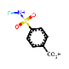 O=C(O)c1ccc(S(=O)(=O)NF)cc1